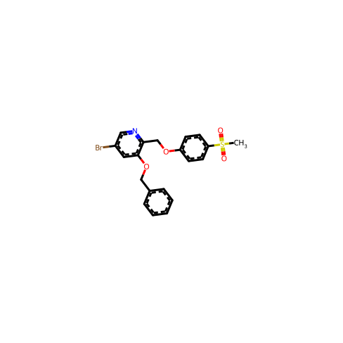 CS(=O)(=O)c1ccc(OCc2ncc(Br)cc2OCc2ccccc2)cc1